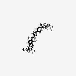 CC(C)(C)Cn1nnc2c(Br)c(NCc3csc(C4CCN(C(=O)OC(C)(C)C)CC4)n3)ccc21